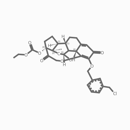 CCOC(=O)O[C@@]12CC[C@H]3[C@@H]4CCC5=CC(=O)C(OCc6cccc(CCl)c6)=C(OCC1=O)[C@]5(C)C4[C@H](O)C[C@]32C